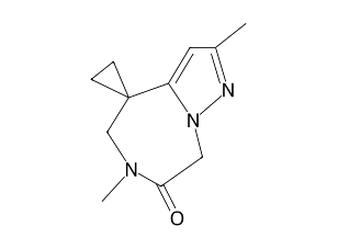 Cc1cc2n(n1)CC(=O)N(C)CC21CC1